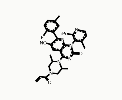 C=CC(=O)N1CC(C)N(c2nc(=O)n(-c3c(C)ccnc3C(C)C)c3nc(-c4cc(C)ccc4F)c(C#N)cc23)C(C)C1